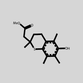 COC(=O)CC1(C)CCc2c(C)c(O)c(C)c(C)c2S1